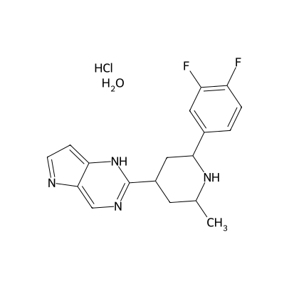 CC1CC(c2ncc3nccc-3[nH]2)CC(c2ccc(F)c(F)c2)N1.Cl.O